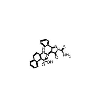 NC(=S)N1N=C(c2ccccc2)/C(=N\Nc2ccc3ccccc3c2S(=O)(=O)O)C1=O